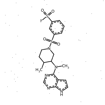 CC1CCN(S(=O)(=O)c2cccc(S(=O)(=O)F)c2)CC1N(C)c1ncnc2[nH]ccc12